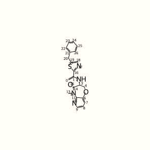 C=C(N[C@H]1COc2cccnc2N(C)C1=O)c1ncc(Cc2ccccc2)s1